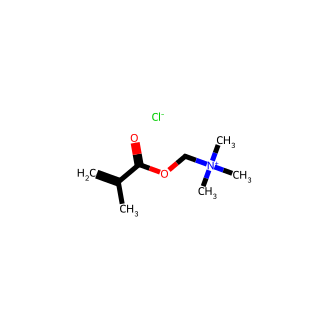 C=C(C)C(=O)OC[N+](C)(C)C.[Cl-]